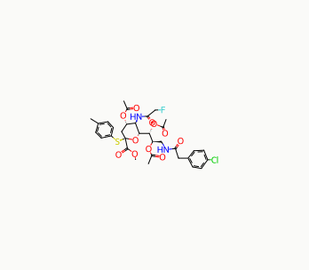 COC(=O)[C@]1(Sc2ccc(C)cc2)C[C@H](OC(C)=O)[C@@H](NC(=O)CF)[C@H]([C@H](OC(C)=O)[C@@H](CNC(=O)Cc2ccc(Cl)cc2)OC(C)=O)O1